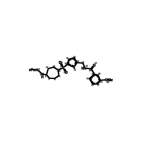 CCCCCNC1CCCN(S(=O)(=O)c2ccc(CNC(=O)c3cccc(OC)c3)s2)CC1